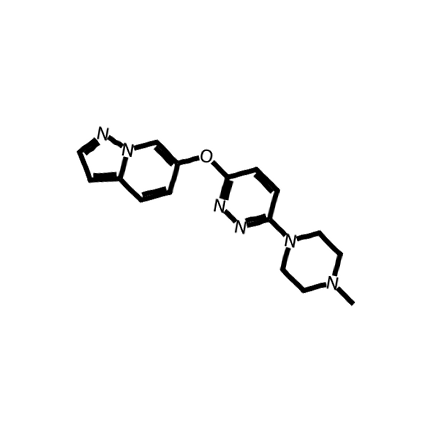 CN1CCN(c2ccc(Oc3ccc4ccnn4c3)nn2)CC1